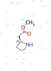 COC(=O)C[C@@H]1CCCN1